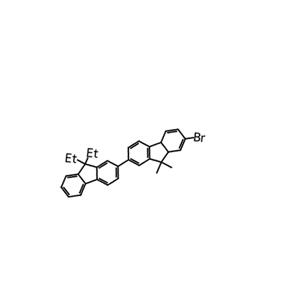 CCC1(CC)c2ccccc2-c2ccc(-c3ccc4c(c3)C(C)(C)C3C=C(Br)C=CC43)cc21